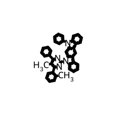 Cc1ccccc1-c1nc(-n2c3ccccc3c3cc4c5ccccc5n(-c5ccccc5)c4cc32)nc(-c2ccccc2)c1C